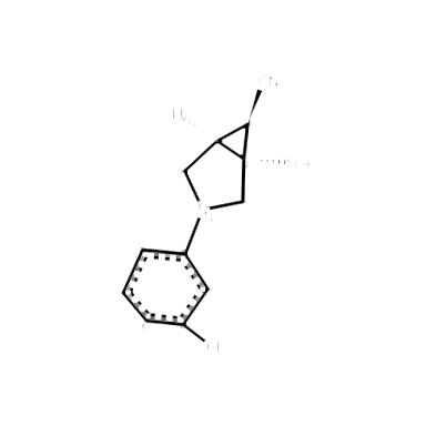 N#C[C@H]1[C@H]2CN(c3cccc(Cl)c3)C[C@@H]12